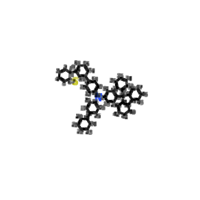 CC12C=CC=CC1Sc1c(-c3ccc(N(c4ccc(C5C=CC=CC5)cc4)c4ccc(C5(c6ccccc6)C6=C(CCC=C6)c6ccccc65)cc4)cc3)cccc12